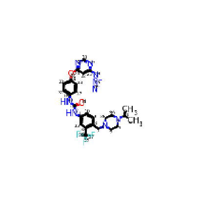 CC(C)N1CCN(Cc2ccc(NC(=O)Nc3ccc(Oc4cc(N=[N+]=[N-])ncn4)cc3)cc2C(F)(F)F)CC1